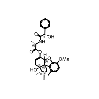 COc1ccc(C)c2c1O[C@H]1C(OC(=O)[C@H](C)NC(=O)[C@@H](O)c3ccccc3)=CC[C@@]3(O)[C@@H](C)N(C)CC[C@]213